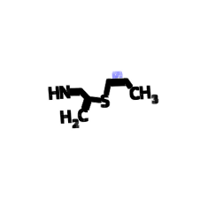 C=C(C=N)S/C=C\C